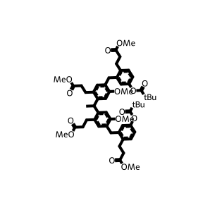 COC(=O)CCc1ccc(OC(=O)C(C)(C)C)cc1Cc1cc(CCC(=O)OC)c(C(C)c2cc(OC)c(Cc3cc(OC(=O)C(C)(C)C)ccc3CCC(=O)OC)cc2CCC(=O)OC)cc1OC